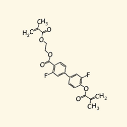 C=C(C)C(=O)OCCOC(=O)c1ccc(-c2ccc(OC(=O)C(=C)C)c(F)c2)cc1F